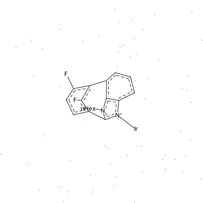 CCCCCCn1c2[n+]([Ir])c3cccc(c31)-c1c(F)ccc-2c1F